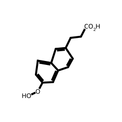 O=C(O)CCc1ccc2cc(OO)ccc2c1